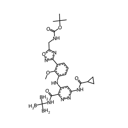 BC(B)(B)NC(=O)c1nnc(NC(=O)C2CC2)cc1Nc1cccc(-c2noc(CNC(=O)OC(C)(C)C)n2)c1OC